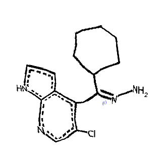 N/N=C(/c1c(Cl)cnc2[nH]ccc12)C1CCCCC1